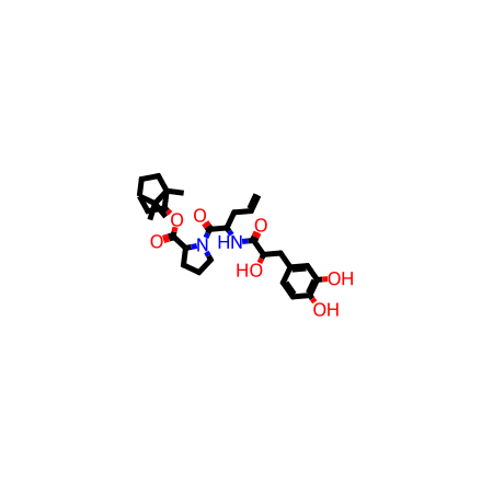 C=CCC(NC(=O)C(O)Cc1ccc(O)c(O)c1)C(=O)N1CCCC1C(=O)OC1CC2CCC1(C)C2(C)C